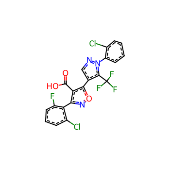 O=C(O)c1c(-c2c(F)cccc2Cl)noc1-c1cnn(-c2ccccc2Cl)c1C(F)(F)F